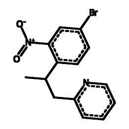 CC(Cc1ccccn1)c1ccc(Br)cc1[N+](=O)[O-]